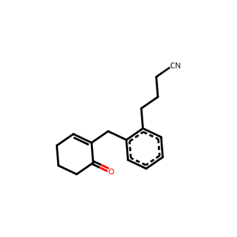 N#CCCCc1ccccc1CC1=CCCCC1=O